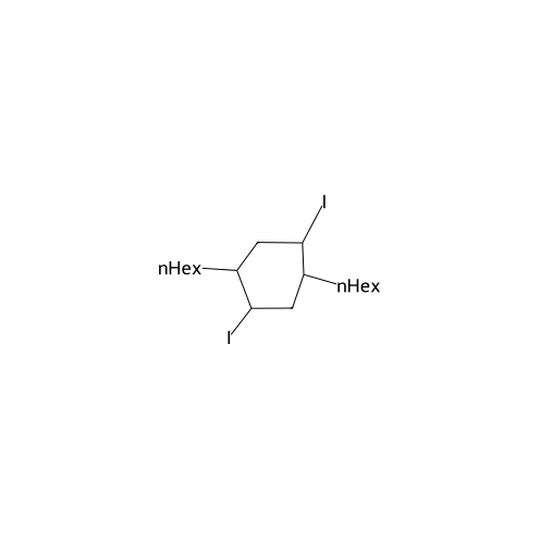 CCCCCCC1CC(I)C(CCCCCC)CC1I